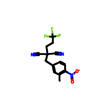 Cc1cc(CC(C#N)(C#N)CCC(F)(F)F)ccc1[N+](=O)[O-]